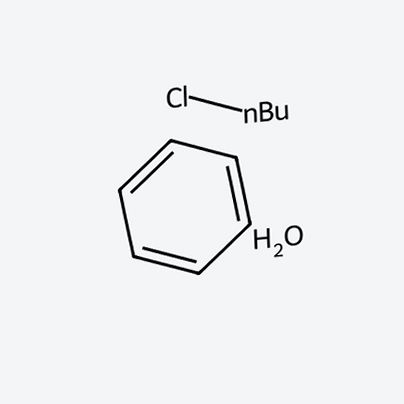 CCCCCl.O.c1ccccc1